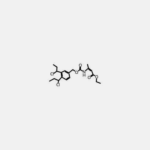 CCOC(=O)/C=C(/C)NC(=O)OCc1ccc(C(Cl)CC)c(C(Cl)CC)c1